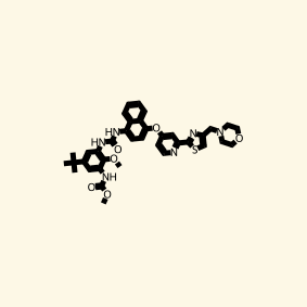 COC(=O)Nc1cc(C(C)(C)C)cc(NC(=O)Nc2ccc(Oc3ccnc(-c4nc(CN5CCOCC5)cs4)c3)c3ccccc23)c1OC